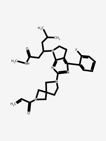 C=CC(=O)N1CC2(CCN(c3nc(-c4ccccc4F)c4c(n3)N(C(CC(=O)NC)CC(C)C)CC4)C2)C1